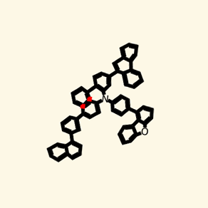 c1ccc(-c2ccc(-c3cc4ccccc4c4ccccc34)cc2N(c2ccc(-c3cccc(-c4cccc5ccccc45)c3)cc2)c2ccc(-c3cccc4oc5ccccc5c34)cc2)cc1